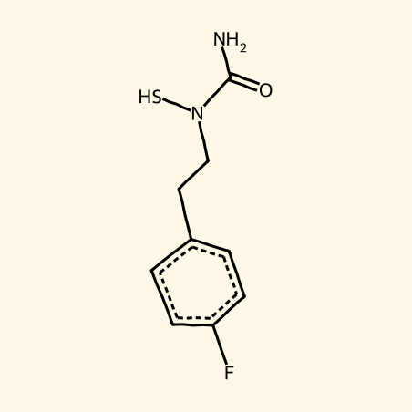 NC(=O)N(S)CCc1ccc(F)cc1